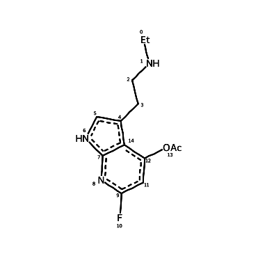 CCNCCc1c[nH]c2nc(F)cc(OC(C)=O)c12